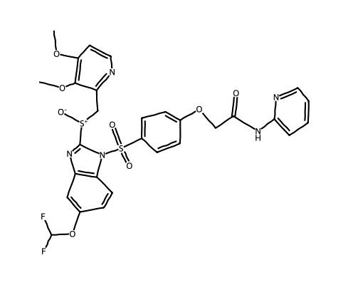 COc1ccnc(C[S+]([O-])c2nc3cc(OC(F)F)ccc3n2S(=O)(=O)c2ccc(OCC(=O)Nc3ccccn3)cc2)c1OC